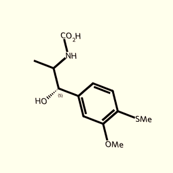 COc1cc([C@H](O)C(C)NC(=O)O)ccc1SC